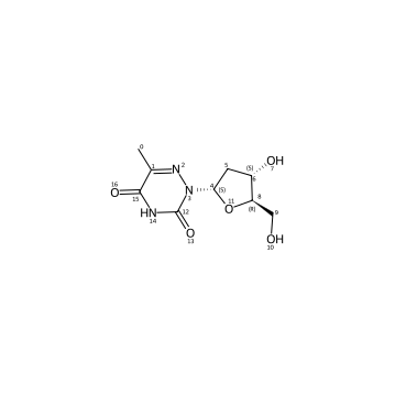 Cc1nn([C@@H]2C[C@H](O)[C@@H](CO)O2)c(=O)[nH]c1=O